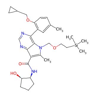 Cc1ccc(OCC2CC2)c(-c2ncnc3c(C(=O)N[C@H]4CCC[C@H]4O)c(C)n(COCC[Si](C)(C)C)c23)c1